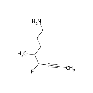 CC#CC(F)C(C)CCCN